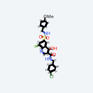 COc1ccc(CNS(=O)(=O)c2cc(F)c3ncc(C(=O)NCc4ccc(Cl)cc4)c(O)c3c2)cc1